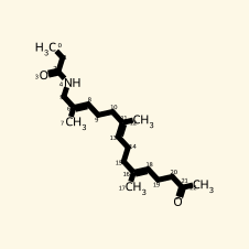 CCC(=O)NCC(C)=CCCC(C)=CCCC(C)=CCCC(C)=O